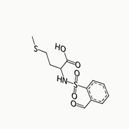 CSCCC(NS(=O)(=O)c1ccccc1C=O)C(=O)O